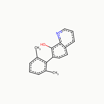 Cc1cccc(C)c1-c1ccc2cccnc2c1O